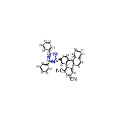 N#Cc1cc(C#N)cc(-c2ccc3ccccc3c2-c2ccc(-c3nc(-c4ccccc4)nc(-c4ccccc4)n3)cc2)c1